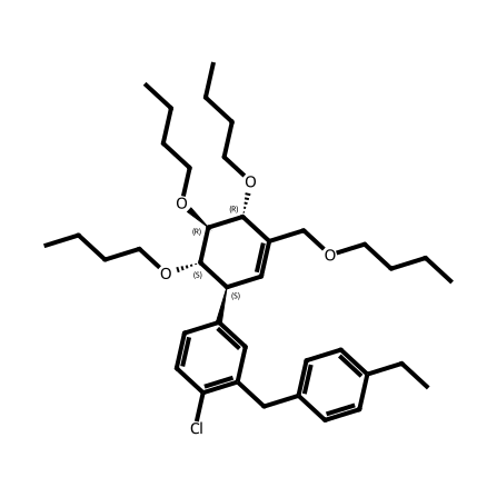 CCCCOCC1=C[C@@H](c2ccc(Cl)c(Cc3ccc(CC)cc3)c2)[C@H](OCCCC)[C@@H](OCCCC)[C@@H]1OCCCC